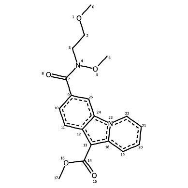 COCCN(OC)C(=O)c1ccc2c(C(=O)OC)c3ccccn3c2c1